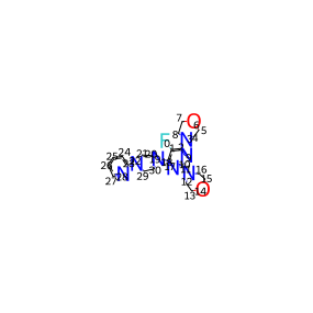 Fc1c(N2CCOCC2)nc(N2CCOCC2)nc1N1CCN(c2ccccn2)CC1